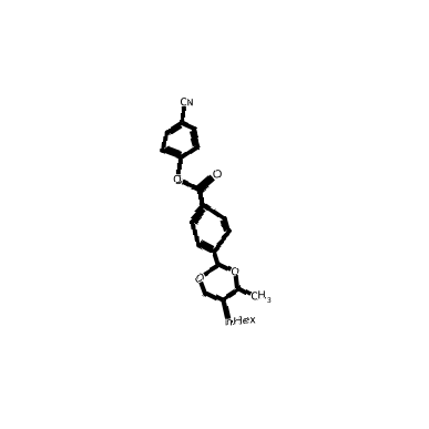 CCCCCCC1COC(c2ccc(C(=O)Oc3ccc(C#N)cc3)cc2)OC1C